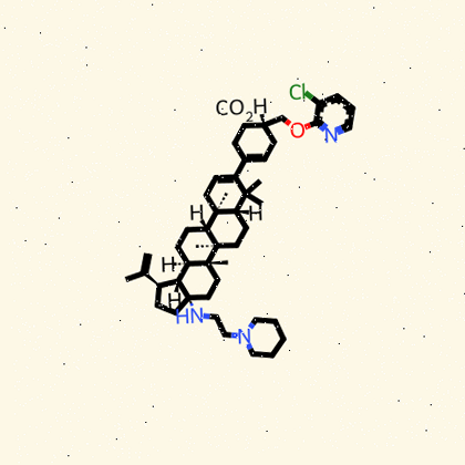 C=C(C)[C@@H]1CC[C@]2(NCCN3CCCCC3)CC[C@]3(C)[C@H](CC[C@@H]4[C@@]5(C)CC=C(C6=CC[C@](COc7ncccc7Cl)(C(=O)O)CC6)C(C)(C)[C@@H]5CC[C@]43C)[C@@H]12